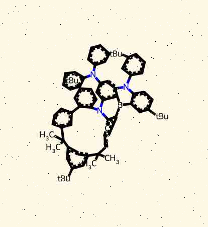 CC(C)(C)c1cccc(N2c3ccc(C(C)(C)C)cc3B3c4cc5ccc4N(c4ccc(C(C)(C)C)cc4-c4cccc(c4)C(C)(C)c4cc(C(C)(C)C)cc(c4)C5(C)C)c4cc(N(c5ccccc5)c5ccccc5)cc2c43)c1